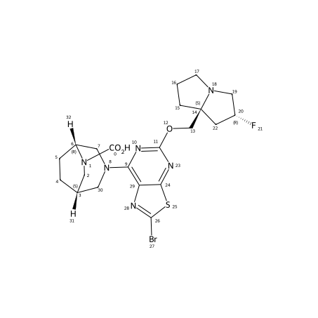 O=C(O)N1C[C@H]2CC[C@@H]1CN(c1nc(OC[C@@]34CCCN3C[C@H](F)C4)nc3sc(Br)nc13)C2